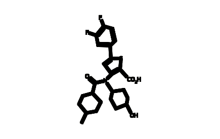 CC1CCC(C(=O)N(c2cc(-c3ccc(F)c(F)c3)sc2C(=O)O)C2CCC(O)CC2)CC1